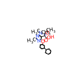 CO/C=C(\C(=O)O)c1c(Oc2cccc(-c3ccccc3)c2)nc(C)nc1N(C)C